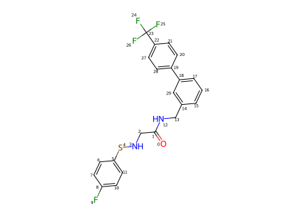 O=C(CNSc1ccc(F)cc1)NCc1cccc(-c2ccc(C(F)(F)F)cc2)c1